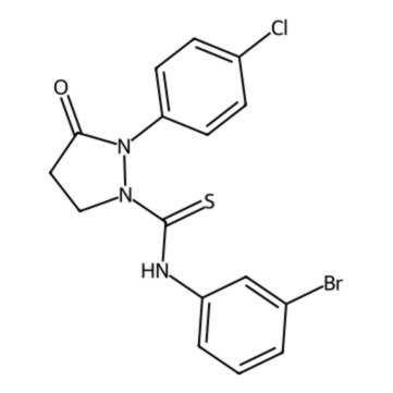 O=C1CCN(C(=S)Nc2cccc(Br)c2)N1c1ccc(Cl)cc1